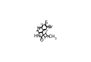 CC1CC2(C1)C(=O)Nc1cnc3cc(F)c(Br)cc3c12